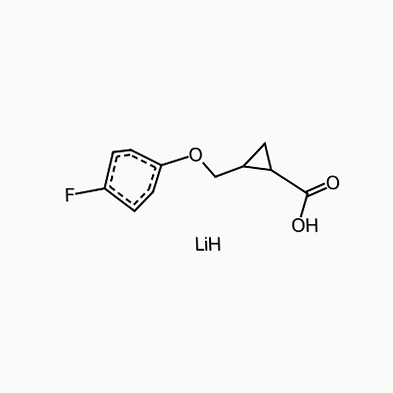 O=C(O)C1CC1COc1ccc(F)cc1.[LiH]